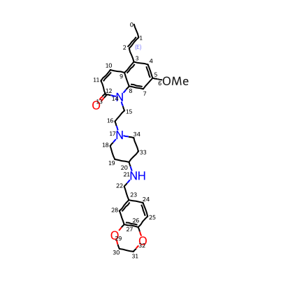 C/C=C/c1cc(OC)cc2c1ccc(=O)n2CCN1CCC(NCc2ccc3c(c2)OCCO3)CC1